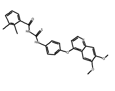 COc1cc2nccc(Oc3ccc(NC(=S)NC(=O)c4cccc(C)c4C)cc3)c2cc1OC